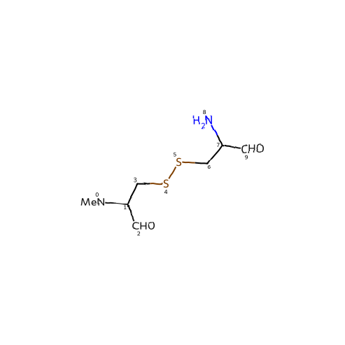 CNC(C=O)CSSCC(N)C=O